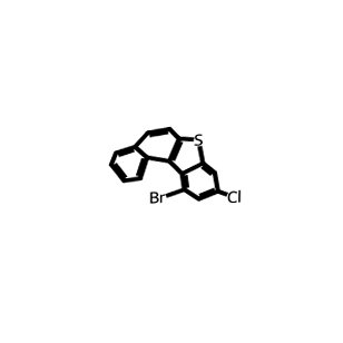 Clc1cc(Br)c2c(c1)sc1ccc3ccccc3c12